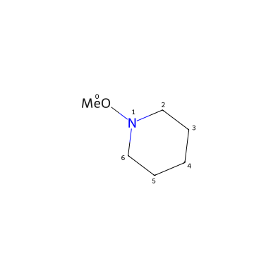 [CH2]ON1CCCCC1